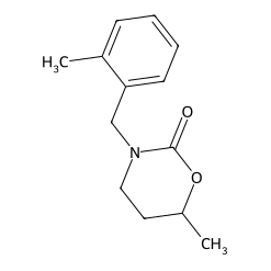 Cc1ccccc1CN1CCC(C)OC1=O